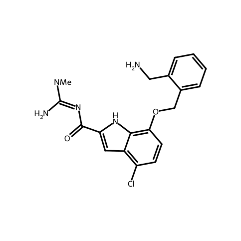 CNC(N)=NC(=O)c1cc2c(Cl)ccc(OCc3ccccc3CN)c2[nH]1